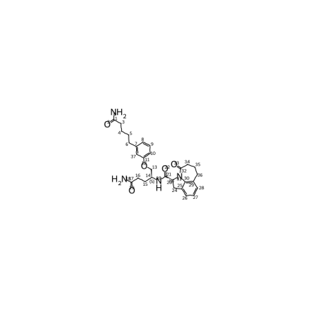 NC(=O)CCCCc1cccc(OC[C@H](CCC(N)=O)NC(=O)[C@@H]2Cc3cccc4c3N2C(=O)CCC4)c1